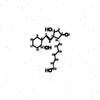 O=C1C[C@@H](O)[C@H](/C=C/C2CCCC[C@H]2O)[C@H]1CCCCCCCO